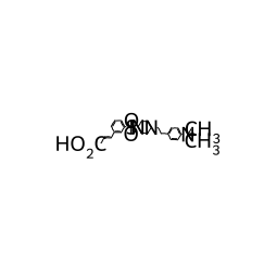 CN(C)c1ccc(CCN2CCN(S(=O)(=O)c3cccc(/C=C/C(=O)O)c3)CC2)cc1